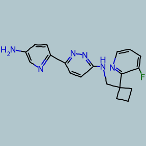 Nc1ccc(-c2ccc(NCC3(c4ncccc4F)CCC3)nn2)nc1